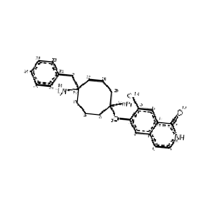 CCCC1(Oc2cc3cc[nH]c(=O)c3cc2Cl)CCCC(N)(Cc2ccccc2)CCC1